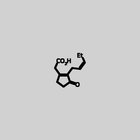 CC/C=C\CC1=C(CC(=O)O)CCC1=O